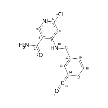 NC(=O)c1cnc(Cl)cc1NCC1=CC(=C=O)CC=C1